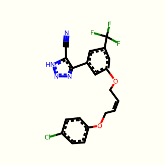 N#Cc1[nH]nnc1-c1cc(OC/C=C\COc2ccc(Cl)cc2)cc(C(F)(F)F)c1